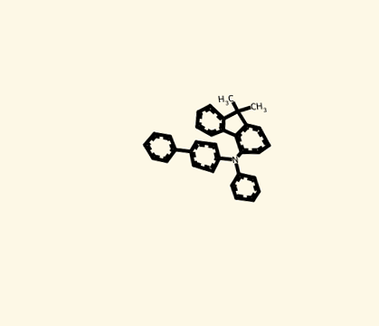 CC1(C)c2ccccc2-c2c(N(c3ccccc3)c3ccc(-c4ccccc4)cc3)cccc21